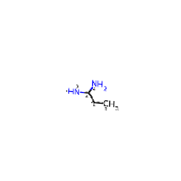 C[CH]C([NH])N